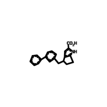 O=C(O)c1cc2c([nH]1)CCC2Cc1cccc(-c2ccccc2)c1